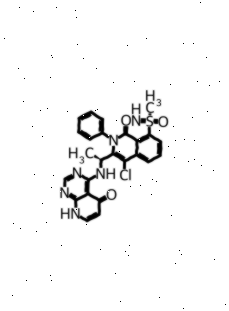 C[C@H](Nc1ncnc2[nH]ccc(=O)c12)c1c(Cl)c2cccc(S(C)(=N)=O)c2c(=O)n1-c1ccccc1